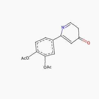 CC(=O)Oc1ccc(C2=CC(=O)CC=N2)cc1OC(C)=O